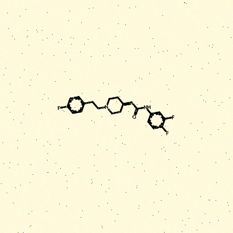 O=C(C=C1CCN(CCc2ccc(F)cc2)CC1)Nc1ccc(F)c(F)c1